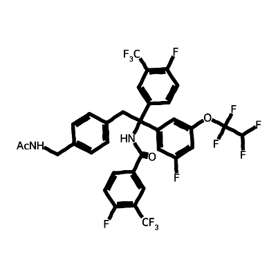 CC(=O)NCc1ccc(CC(NC(=O)c2ccc(F)c(C(F)(F)F)c2)(c2cc(F)cc(OC(F)(F)C(F)F)c2)c2ccc(F)c(C(F)(F)F)c2)cc1